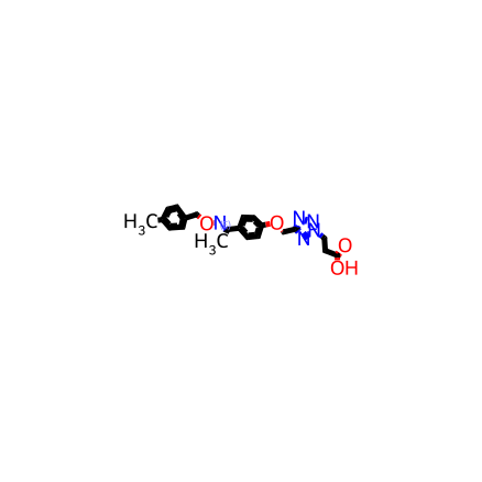 C/C(=N\OCc1ccc(C)cc1)c1ccc(OCc2nnn(CCC(=O)O)n2)cc1